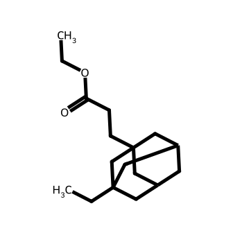 CCOC(=O)CCC12CC3CC(CC(CC)(C3)C1)C2